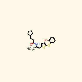 O=C(CCC1CCCC1)N/C(=C\c1ccc(Sc2ccccc2Br)s1)C(=O)O